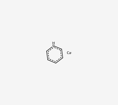 [Ca].c1cc[siH]cc1